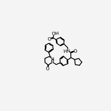 O=C(O)c1ccc(CNC(=O)C(c2ccc(CN3N=C(c4ccccc4)CCC3=O)cc2)C2CCCC2)cc1